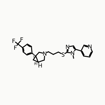 Cn1c(-c2cccnc2)cnc1SCCCN1C[C@@H]2C[C@]2(c2ccc(C(F)(F)F)cc2)C1